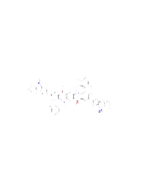 CCn1c2ccsc2c2sc(-c3ccc4c(c3)c(=O)c3cc5c(cc3n4Cc3ccccc3)c(=O)c3cc(-c4cc6c(s4)c4sccc4n6CC)ccc3n5Cc3ccccc3)cc21